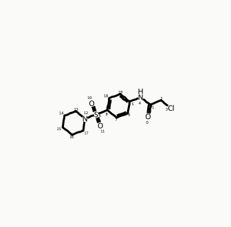 O=C(CCl)Nc1ccc(S(=O)(=O)N2CCCCC2)cc1